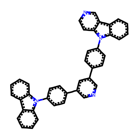 c1ccc2c(c1)c1ccccc1n2-c1ccc(-c2cncc(-c3ccc(-n4c5ccccc5c5cnccc54)cc3)c2)cc1